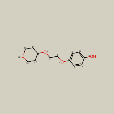 Oc1ccc(OCCOC2CCOCC2)cc1